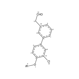 CC(C)Oc1ccc(-c2cccc(CC=O)c2)cc1Cl